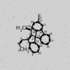 C=CC1=C(/C=C\C)c2ccccc2C12c1ccccc1-c1cc(F)ccc12